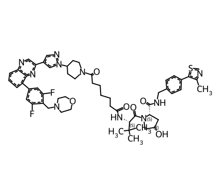 Cc1ncsc1-c1ccc(CNC(=O)[C@@H]2C[C@@H](O)CN2C(=O)[C@@H](NC(=O)CCCCCC(=O)N2CCC(n3cc(-c4cnc5cccc(-c6cc(F)c(CN7CCOCC7)c(F)c6)c5n4)cn3)CC2)C(C)(C)C)cc1